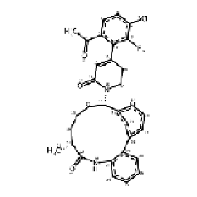 CC(=O)c1ccc(Cl)c(F)c1C1=CC(=O)N([C@H]2CCC[C@@H](C)C(=O)Nc3ccccc3-c3ccnc2c3)CC1